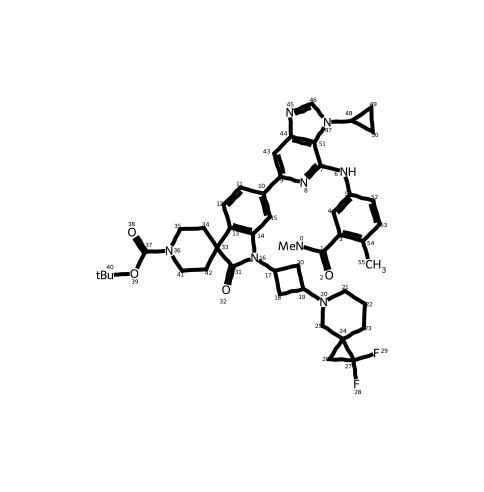 CNC(=O)c1cc(Nc2nc(-c3ccc4c(c3)N(C3CC(N5CCCC6(C5)CC6(F)F)C3)C(=O)C43CCN(C(=O)OC(C)(C)C)CC3)cc3ncn(C4CC4)c23)ccc1C